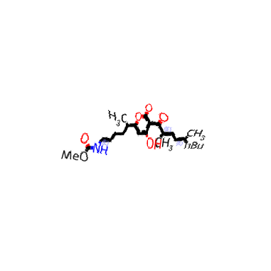 CCCC/C(C)=C/C=C(\C)C(=O)c1c(O)cc(C(C)CC/C=C/NC(=O)OC)oc1=O